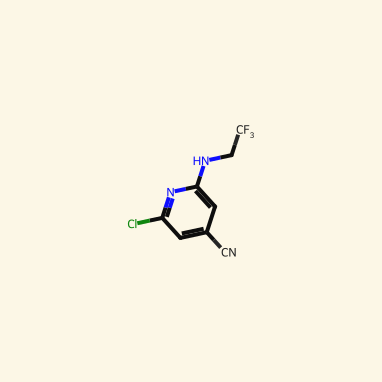 N#Cc1cc(Cl)nc(NCC(F)(F)F)c1